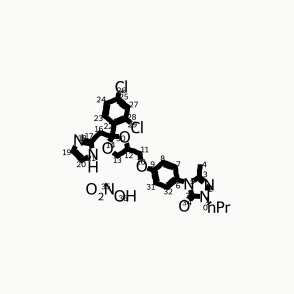 CCCn1nc(C)n(-c2ccc(OCC3COC(Cc4ncc[nH]4)(c4ccc(Cl)cc4Cl)O3)cc2)c1=O.O=[N+]([O-])O